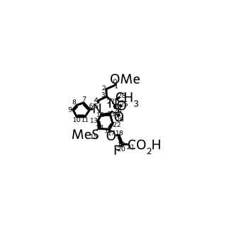 COCCC1CN(c2ccccc2)c2cc(SC)c(O/C=C(\F)C(=O)O)cc2S(=O)(=O)N1C